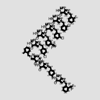 Cc1ccccc1Cn1cc2c(=O)[nH]nnc2n1.O=c1[nH]nnc2nn(Cc3ccc(Cl)cc3)cc12.O=c1[nH]nnc2nn(Cc3ccc(F)cc3)cc12.O=c1[nH]nnc2nn(Cc3cccc(C(F)(F)F)c3)cc12.O=c1[nH]nnc2nn(Cc3cccc(Cl)c3)cc12.O=c1[nH]nnc2nn(Cc3ccccc3C(F)(F)F)cc12.O=c1[nH]nnc2nn(Cc3ccccc3Cl)cc12.O=c1[nH]nnc2nn(Cc3ccccc3F)cc12